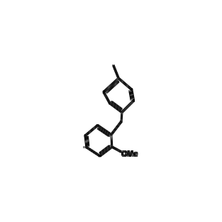 COc1c[c]ccc1Cc1ccc(C)cc1